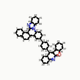 c1ccc2c(c1)ccc1c3cc(-c4ccc(-c5c6ccccc6nc6oc7ccccc7c56)cc4)ccc3n3c4ccccc4nc3c21